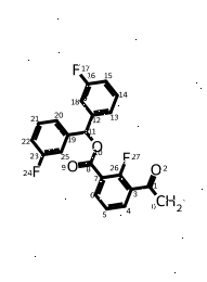 [CH2]C(=O)c1cccc(C(=O)OC(c2cccc(F)c2)c2cccc(F)c2)c1F